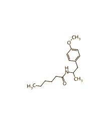 CCCCCC(=O)NC(C)Cc1ccc(OC)cc1